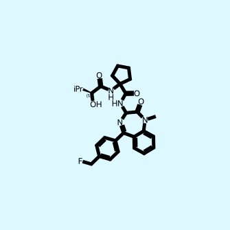 CC(C)[C@H](O)C(=O)NC1(C(=O)NC2N=C(c3ccc(CF)cc3)c3ccccc3N(C)C2=O)CCCC1